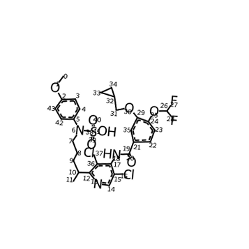 COc1ccc(N(CCCC(C)c2ncc(Cl)c(NC(=O)c3ccc(OC(F)F)c(OCC4CC4)c3)c2Cl)S(=O)(=O)O)cc1